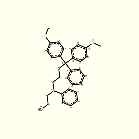 COc1ccc(C(OCCN(CCO)c2ccccc2)(c2ccccc2)c2ccc(OC)cc2)cc1